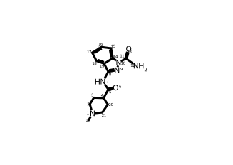 CN1CCC(C(=O)Nc2nn(C(N)=O)c3c[c]ccc23)CC1